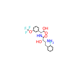 N[C@H](Cc1ccccc1F)[C@H](O)C(=O)N[C@@H](C(=O)O)c1cccc(OC(F)(F)F)c1